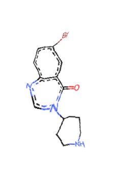 O=c1c2cc(Br)ccc2ncn1C1CCNCC1